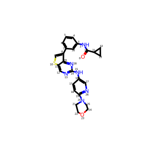 O=C(Nc1cccc(-c2csc3cnc(Nc4ccc(N5CCOCC5)nc4)nc23)c1)C1CC1